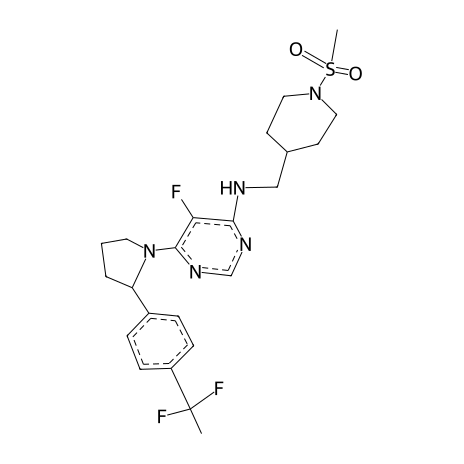 CC(F)(F)c1ccc(C2CCCN2c2ncnc(NCC3CCN(S(C)(=O)=O)CC3)c2F)cc1